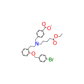 CCOC(=O)CCCCN(CCc1ccccc1OCc1ccc(Br)cc1)Cc1ccc(C(=O)OC)cc1